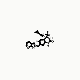 O=C1Nc2cc(Cn3cc4cccnc4n3)c(F)cc2[C@@](C#CC2CC2)(C(F)(F)F)N1